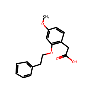 COc1ccc(CC(=O)O)c(OCCc2ccccc2)c1